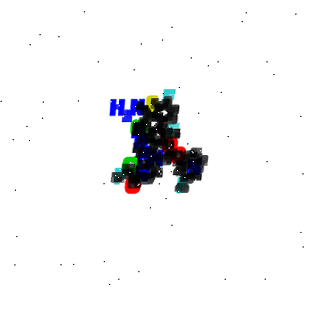 N#Cc1c(N)sc2c(F)ccc(-c3c(F)c4c5c(c3Cl)=NCNC=5N(C3CCN(C(=O)C(F)Cl)C3)C=C(OC[C@@]35CCCN3C[C@H](F)C5)O4)c12